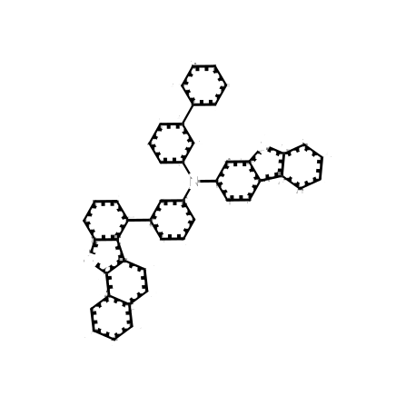 c1ccc(-c2cccc(N(c3cccc(-c4cccc5oc6c7ccccc7ccc6c45)c3)c3ccc4c(c3)sc3ccccc34)c2)cc1